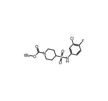 CC(C)(C)OC(=O)N1CCC(S(=O)(=O)Nc2ccc(F)c(Cl)c2)CC1